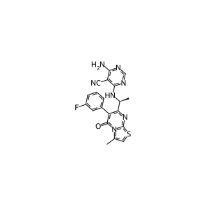 Cc1csc2nc([C@H](C)Nc3ncnc(N)c3C#N)c(-c3cccc(F)c3)c(=O)n12